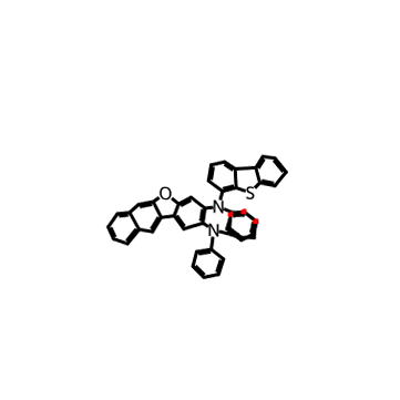 c1ccc(N(c2ccccc2)c2cc3c(cc2N(c2ccccc2)c2cccc4c2sc2ccccc24)oc2cc4ccccc4cc23)cc1